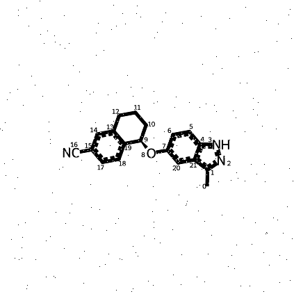 Cc1n[nH]c2ccc(O[C@@H]3CCCc4cc(C#N)ccc43)cc12